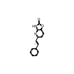 O=c1[nH]c2nc(/C=C/c3ccccc3)ccc2o1